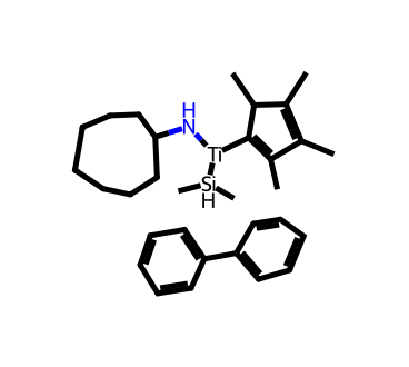 CC1=C(C)C(C)[C]([Ti]([NH]C2CCCCCCC2)[SiH](C)C)=C1C.c1ccc(-c2ccccc2)cc1